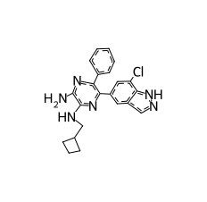 Nc1nc(-c2ccccc2)c(-c2cc(Cl)c3[nH]ncc3c2)nc1NCC1CCC1